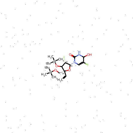 C=C[C@]1(CO[Si](C)(C)C(C)(C)C)O[C@@H](N2C=C(F)C(O)NC2=O)[C@@H](F)C1O[Si](C)(C)C(C)(C)C